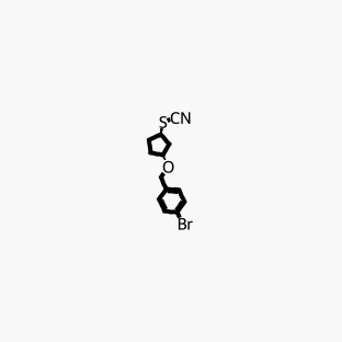 N#CS[C@@H]1CC[C@@H](OCc2ccc(Br)cc2)C1